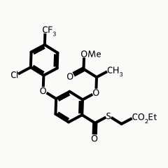 CCOC(=O)CSC(=O)c1ccc(Oc2ccc(C(F)(F)F)cc2Cl)cc1OC(C)C(=O)OC